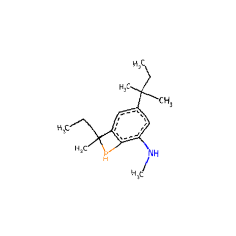 CCC(C)(C)c1cc(NC)c2c(c1)C(C)(CC)P2